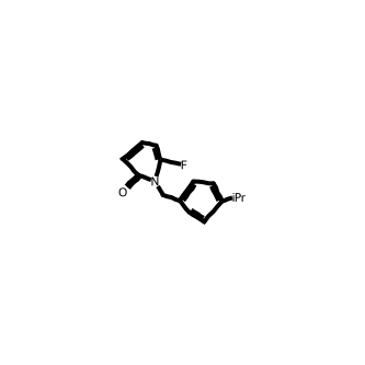 CC(C)c1ccc(Cn2c(F)cccc2=O)cc1